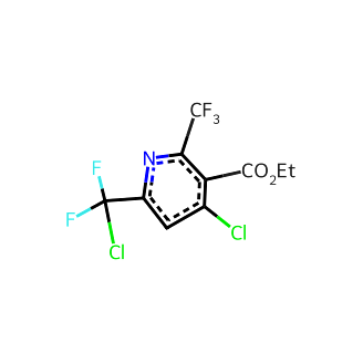 CCOC(=O)c1c(Cl)cc(C(F)(F)Cl)nc1C(F)(F)F